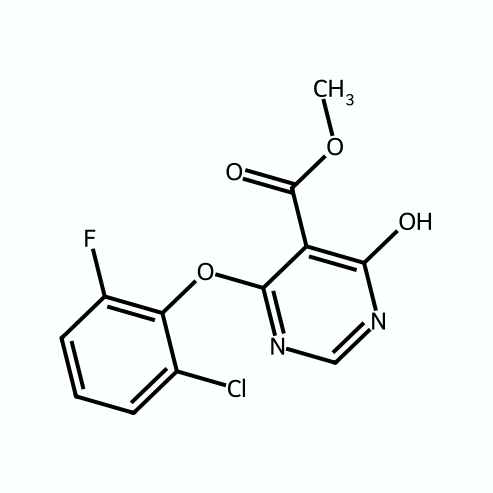 COC(=O)c1c(O)ncnc1Oc1c(F)cccc1Cl